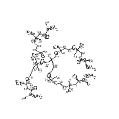 BB(I)C(=O)CC(C)(CC)OCCC(C)(C)OCC(COC(C)(CC)CCOC(C)(CC)CC(=O)B(B)I)(COC(C)(CC)CCOC(C)(CC)CC(=O)B(B)I)COC(C)(CC)CCOC(C)(CC)CC(=O)B(B)I